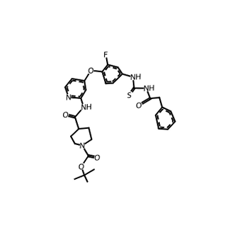 CC(C)(C)OC(=O)N1CCC(C(=O)Nc2cc(Oc3ccc(NC(=S)NC(=O)Cc4ccccc4)cc3F)ccn2)CC1